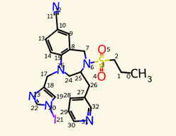 CCCS(=O)(=O)N1Cc2cc(C#N)ccc2N(Cc2cn(I)cn2)CC1Cc1cccnc1